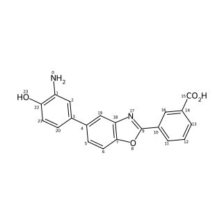 Nc1cc(-c2ccc3oc(-c4cccc(C(=O)O)c4)nc3c2)ccc1O